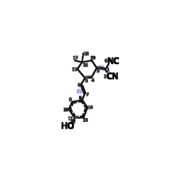 [C-]#[N+]/C(C#N)=C1C=C(/C=C/c2ccc(O)cc2)CC(C)(C)C/1